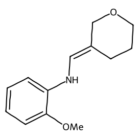 COc1ccccc1NC=C1CCCOC1